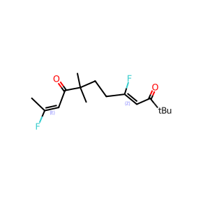 C/C(F)=C\C(=O)C(C)(C)CC/C(F)=C/C(=O)C(C)(C)C